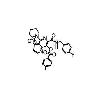 Cc1ccc(S(=O)(=O)Oc2c(C(=O)NCc3ccc(F)cc3)nc(N3CCCCS3(=O)=O)c3cccnc23)cc1